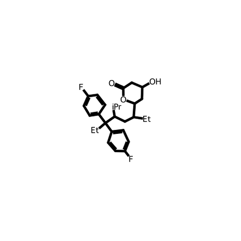 CCC(CC(C(C)C)C(CC)(c1ccc(F)cc1)c1ccc(F)cc1)C1CC(O)CC(=O)O1